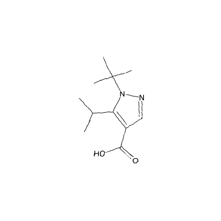 CC(C)c1c(C(=O)O)cnn1C(C)(C)C